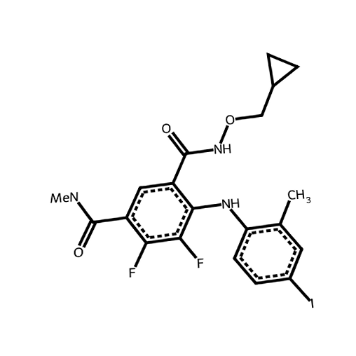 CNC(=O)c1cc(C(=O)NOCC2CC2)c(Nc2ccc(I)cc2C)c(F)c1F